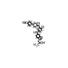 CC(O)Cn1cnc2cc(Nc3ncc(Cl)c(NC4CCN(c5ccc(C#N)cn5)CC4)n3)ccc21